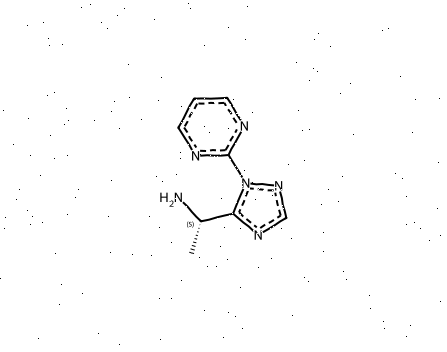 C[C@H](N)c1ncnn1-c1ncccn1